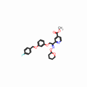 COC(=O)c1ccnc(/C(COc2cccc(OCc3ccc(F)cc3)c2)=N/OC2CCCCO2)c1